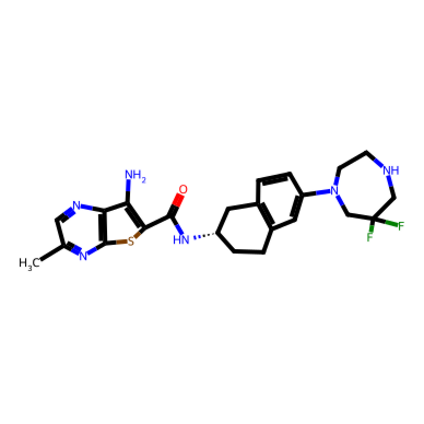 Cc1cnc2c(N)c(C(=O)N[C@H]3CCc4cc(N5CCNCC(F)(F)C5)ccc4C3)sc2n1